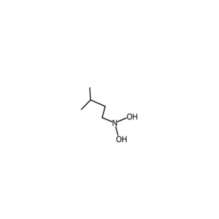 CC(C)CCN(O)O